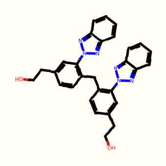 OCCc1ccc(Cc2ccc(CCO)cc2-n2nc3ccccc3n2)c(-n2nc3ccccc3n2)c1